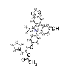 CC(=O)OC(COc1ccc(/C(=C(/c2ccc3c(c2)OCO3)C2CC2)c2ccc(O)cc2)cc1)CN1CCCC1